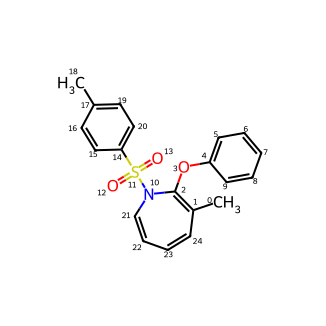 CC1=C(Oc2ccccc2)N(S(=O)(=O)c2ccc(C)cc2)C=CC=C1